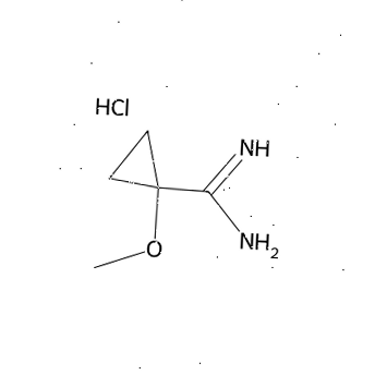 COC1(C(=N)N)CC1.Cl